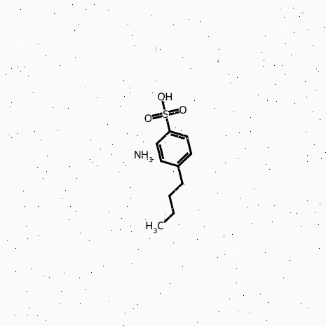 CCCCc1ccc(S(=O)(=O)O)cc1.N